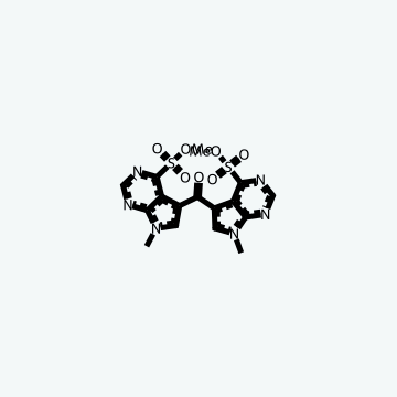 COS(=O)(=O)c1ncnc2c1c(C(=O)c1cn(C)c3ncnc(S(=O)(=O)OC)c13)cn2C